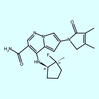 CC1=C(C)C(=O)N(c2cc3c(N[C@@H]4CCC[C@]4(C)F)c(C(N)=O)cnn3c2)C1